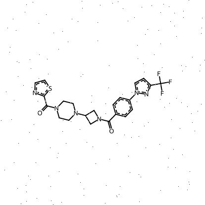 O=C(c1ccc(-n2ccc(C(F)(F)F)n2)cc1)N1CC(N2CCN(C(=O)c3nccs3)CC2)C1